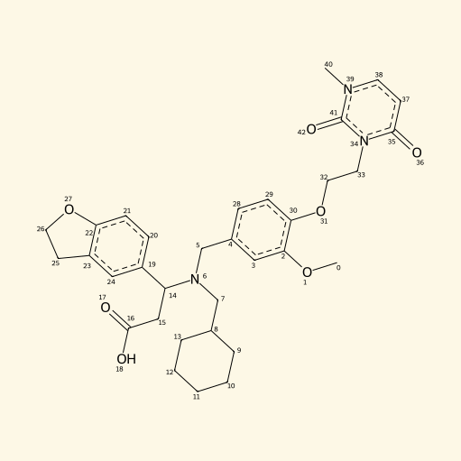 COc1cc(CN(CC2CCCCC2)C(CC(=O)O)c2ccc3c(c2)CCO3)ccc1OCCn1c(=O)ccn(C)c1=O